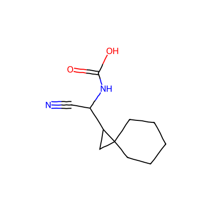 N#CC(NC(=O)O)C1CC12CCCCC2